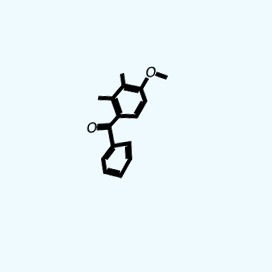 COc1ccc(C(=O)c2ccccc2)c(C)c1C